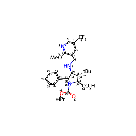 COc1ncc(C(F)(F)F)cc1CN[C@H]1[C@H](C(C)(C)C)[C@@H](C(=O)O)N(C(=O)OC(C)C)[C@H]1c1ccccc1